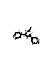 Cc1nc(-c2ccncc2)cc(-c2ccncc2)n1